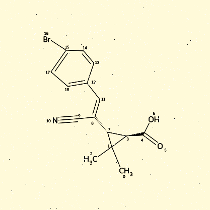 CC1(C)[C@H](C(=O)O)[C@H]1C(C#N)=Cc1ccc(Br)cc1